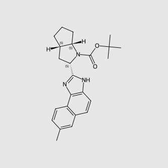 Cc1ccc2c(ccc3[nH]c([C@@H]4C[C@@H]5CCC[C@@H]5N4C(=O)OC(C)(C)C)nc32)c1